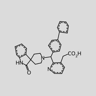 O=C(O)Cc1cccnc1C(c1ccc(-c2ccccc2)cc1)N1CCC2(CC1)C(=O)Nc1ccccc12